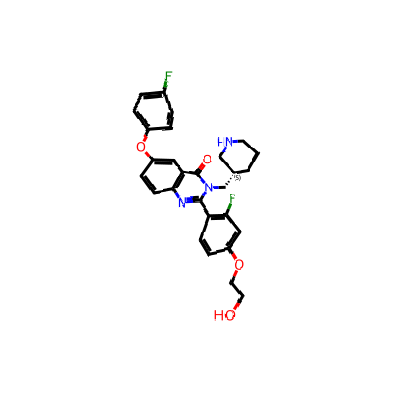 O=c1c2cc(Oc3ccc(F)cc3)ccc2nc(-c2ccc(OCCO)cc2F)n1C[C@H]1CCCNC1